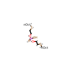 CCCCCCCCSCCOP(=S)(S)OCCSCCCCCCCC